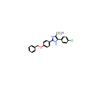 O=C(O)c1nc(-c2ccc(OCc3ccccc3)cc2)[nH]c1-c1ccc(Cl)cc1